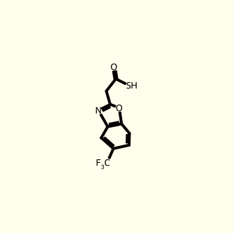 O=C(S)Cc1nc2cc(C(F)(F)F)ccc2o1